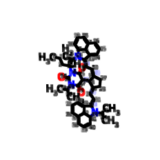 CCCCN1C(=O)/C(=C2C(=C/C=C3\C4=CC=CC5=CC=CC(C54)N3C(C)C)\CCC\2=C/C=C2\C3=CC=CC4=CC=CC(C43)N2C(C)C)C(=O)N(C(C)C)C1=O